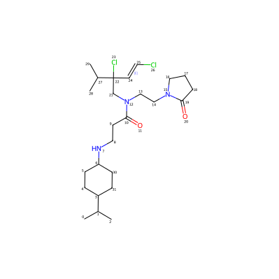 CC(C)C1CCC(NCCC(=O)N(CCN2CCCC2=O)CC(Cl)(/C=C/Cl)C(C)C)CC1